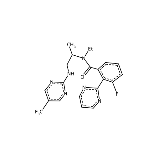 CCN(C(=O)c1cccc(F)c1-c1ncccn1)C(C)CNc1ncc(C(F)(F)F)cn1